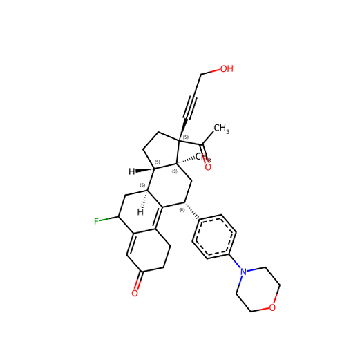 CC(=O)[C@@]1(C#CCO)CC[C@H]2[C@@H]3CC(F)C4=CC(=O)CCC4=C3[C@@H](c3ccc(N4CCOCC4)cc3)C[C@@]21C